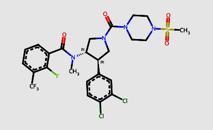 CN(C(=O)c1cccc(C(F)(F)F)c1F)[C@@H]1CN(C(=O)N2CCN(S(C)(=O)=O)CC2)C[C@H]1c1ccc(Cl)c(Cl)c1